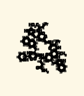 CC(C)C[C@H](NC(=O)[C@H](Cc1c[nH]cn1)NC(=O)CNC(=O)[C@@H](NC(=O)[C@H](C)NC(=O)[C@H](Cc1c[nH]c2ccccc12)NC(=O)[C@H](CCC(N)=O)NC(=O)[C@@H](Cc1ccc2ccccc2c1)NC(=O)[C@@H]1CCCCN1)C(C)C)C(=O)O